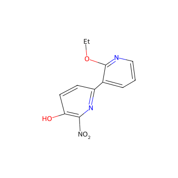 CCOc1ncccc1-c1ccc(O)c([N+](=O)[O-])n1